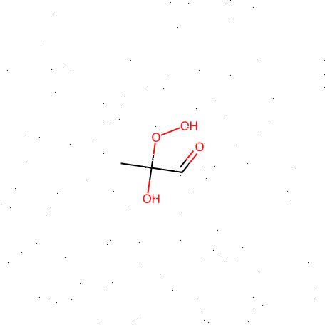 CC(O)(C=O)OO